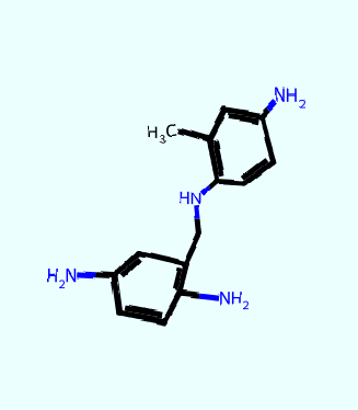 Cc1cc(N)ccc1NCc1cc(N)ccc1N